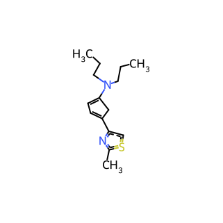 CCCN(CCC)C1=CC=C(c2csc(C)n2)C1